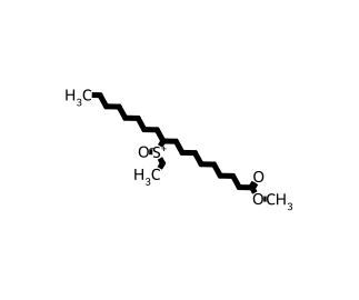 CCCCCCCCC(CCCCCCCCC(=O)OC)[S+]([O-])CC